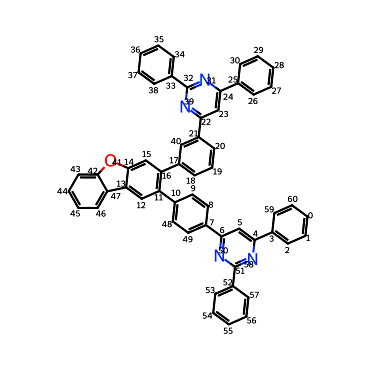 c1ccc(-c2cc(-c3ccc(-c4cc5c(cc4-c4cccc(-c6cc(-c7ccccc7)nc(-c7ccccc7)n6)c4)oc4ccccc45)cc3)nc(-c3ccccc3)n2)cc1